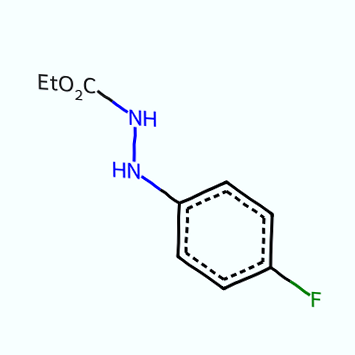 CCOC(=O)NNc1ccc(F)cc1